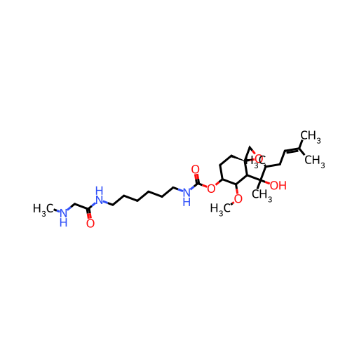 CNCC(=O)NCCCCCCNC(=O)OC1CC[C@]2(CO2)C(C(C)(O)[C@H](C)CC=C(C)C)C1OC